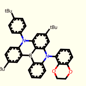 CC(C)(C)c1ccc(N2c3ccc(C(C)(C)C)cc3B3c4ccccc4N(c4cccc5c4OCCO5)c4cc(C(C)(C)C)cc2c43)cc1